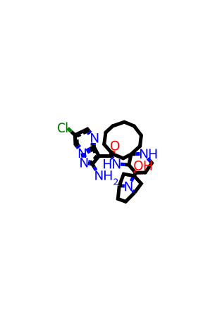 Nc1nn2cc(Cl)cnc2c1C(=O)NC1C(N2C3CCC2CC(O)C3)CCNC12CCCCCCCCC2